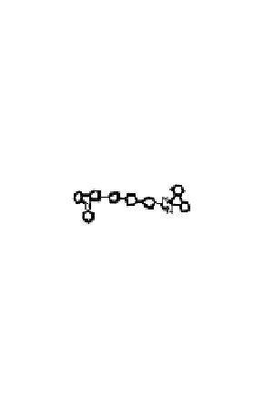 c1ccc(-n2c3ccccc3c3ccc(-c4ccc(-c5ccc(-c6ccc(-c7cnc8c9ccccc9c9ccccc9c8n7)cc6)cc5)cc4)cc32)cc1